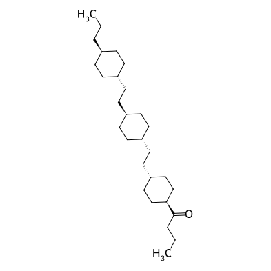 CCCC(=O)[C@H]1CC[C@H](CC[C@H]2CC[C@H](CC[C@H]3CC[C@H](CCC)CC3)CC2)CC1